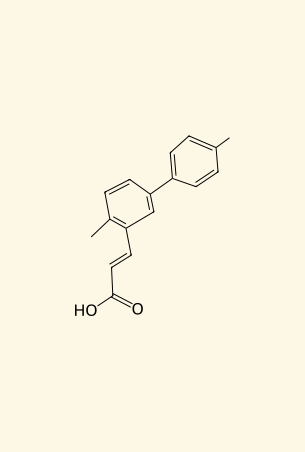 Cc1ccc(-c2ccc(C)c(/C=C/C(=O)O)c2)cc1